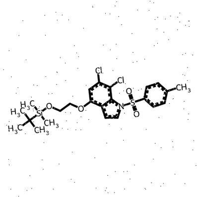 Cc1ccc(S(=O)(=O)n2ccc3c(OCCO[Si](C)(C)C(C)(C)C)cc(Cl)c(Cl)c32)cc1